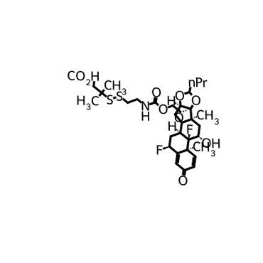 CCCC1O[C@@H]2CC3[C@@H]4C[C@H](F)C5=CC(=O)C=C[C@]5(C)[C@@]4(F)[C@@H](O)C[C@]3(C)[C@]2(C(=O)COC(=O)NCCSSC(C)(C)CC(=O)O)O1